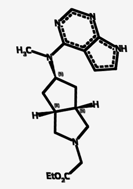 CCOC(=O)CN1C[C@H]2C[C@H](N(C)c3ncnc4[nH]ccc34)C[C@H]2C1